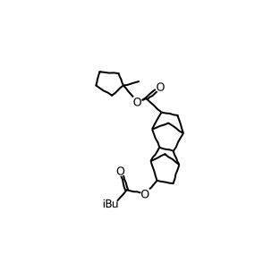 CCC(C)C(=O)OC1CC2CC1C1C3CC(CC3C(=O)OC3(C)CCCC3)C21